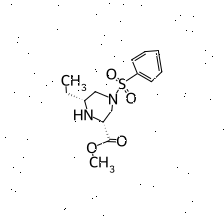 CC[C@@H]1CN(S(=O)(=O)c2ccccc2)C[C@H](C(=O)OC)N1